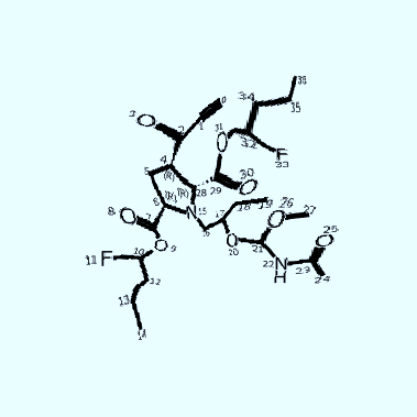 C#CC(=O)[C@@H]1C[C@H](C(=O)OC(F)CCC)N(CC(CC)OC(NC(C)=O)OC)[C@H]1C(=O)OC(F)CCC